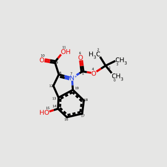 CC(C)(C)OC(=O)[N+]1=C(C(=O)O)Cc2c(O)cccc21